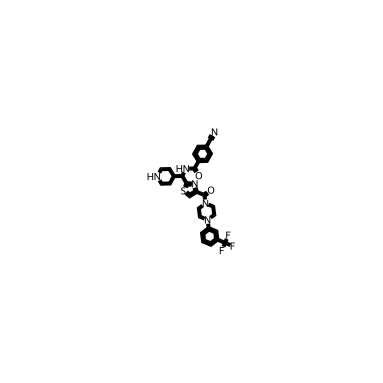 N#Cc1ccc(C(=O)NC(c2nc(C(=O)N3CCN(c4cccc(C(F)(F)F)c4)CC3)cs2)C2CCNCC2)cc1